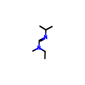 CCN(C)/C=N/C(C)C